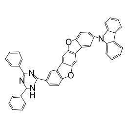 c1ccc(C2=NC(c3ccccc3)NC(c3ccc4oc5cc6c(cc5c4c3)oc3ccc(-n4c5ccccc5c5ccccc54)cc36)=N2)cc1